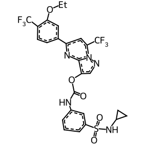 CCOc1cc(-c2cc(C(F)(F)F)n3ncc(OC(=O)Nc4cccc(S(=O)(=O)NC5CC5)c4)c3n2)ccc1C(F)(F)F